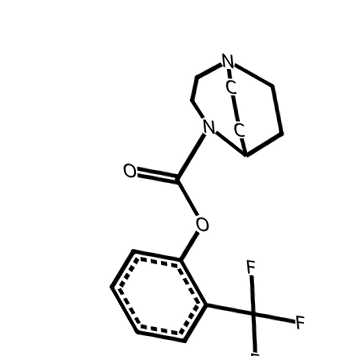 O=C(Oc1ccccc1C(F)(F)F)N1CCN2CCC1CC2